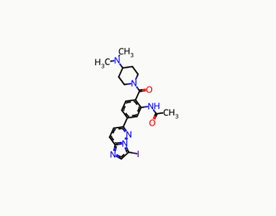 CC(=O)Nc1cc(-c2ccc3ncc(I)n3n2)ccc1C(=O)N1CCC(N(C)C)CC1